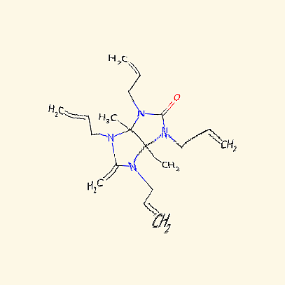 C=CCN1C(=C)N(CC=C)C2(C)N(CC=C)C(=O)N(CC=C)C12C